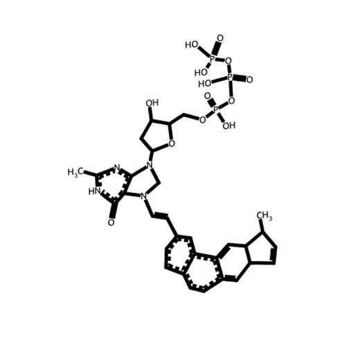 Cc1nc2c(c(=O)[nH]1)N(/C=C/c1ccc3ccc4c(c3c1)=CC1C(C)C=CC1C=4)CN2C1CC(O)C(COP(=O)(O)OP(=O)(O)OP(=O)(O)O)O1